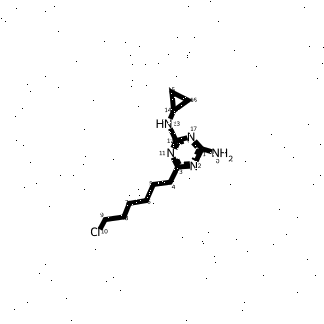 Nc1nc(CCCCCCCl)nc(NC2CC2)n1